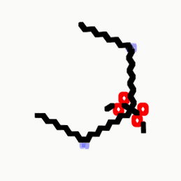 CCCCCCCC/C=C\CCCCCCCCC(CCCCCCCC/C=C\CCCCCCCC)(C(=O)OCC)C(=O)OCC